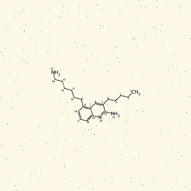 CCCCCc1cc2c(CCCCCCN)cccc2nc1N